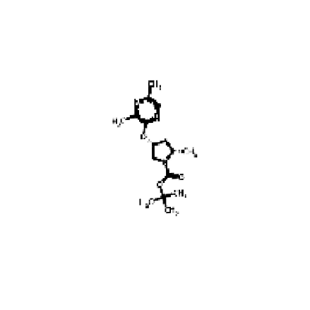 Cc1cnc(O[C@@H]2C[C@H](C)N(C(=O)OC(C)(C)C)C2)c(C)n1